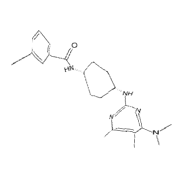 Cc1cccc(C(=O)N[C@H]2CC[C@@H](Nc3nc(C)c(C)c(N(C)C)n3)CC2)c1